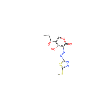 CCC(=O)c1coc(=O)c(N=Nc2nnc(SC)s2)c1O